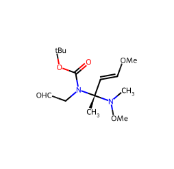 COC=C[C@](C)(N(C)OC)N(CC=O)C(=O)OC(C)(C)C